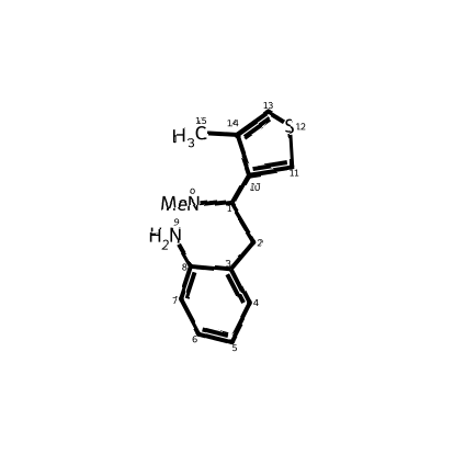 CNC(Cc1ccccc1N)c1cscc1C